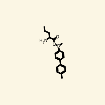 CCCC(N)C(=O)OB(C)c1ccc(-c2ccc(C)cc2)cc1